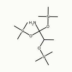 CC(O[Si](C)(C)C)C(N)(O[Si](C)(C)C)O[Si](C)(C)C